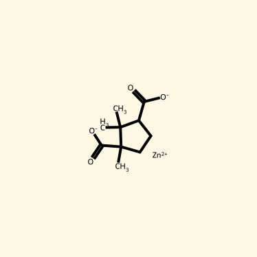 CC1(C(=O)[O-])CCC(C(=O)[O-])C1(C)C.[Zn+2]